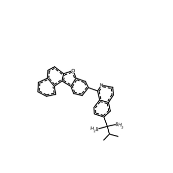 BC(B)(c1ccc2c(-c3ccc4c(c3)oc3ccc5ccccc5c34)nccc2c1)C(C)C